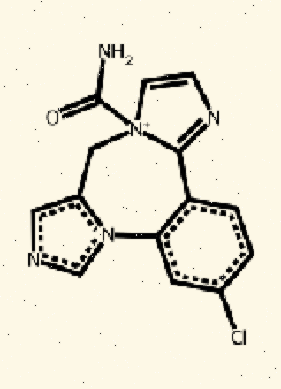 NC(=O)[N+]12C=CN=C1c1ccc(Cl)cc1-n1cncc1C2